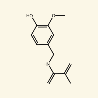 C=C(C)C(=C)NCc1ccc(O)c(OC)c1